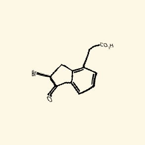 O=C(O)Cc1cccc2c1CC(Br)C2=O